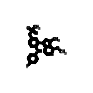 COc1nccc2c(-c3cc(CS(C)(=O)=O)ccc3Nc3ccc(F)cc3)cn(C)c12